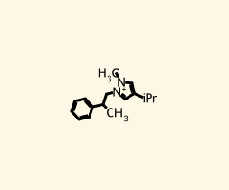 CC(C)c1cn(C)[n+](CC(C)c2ccccc2)c1